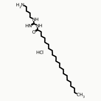 CCCCCCCCCCCCCCCCCCCCCC(=O)NC(=N)NCCCCN.Cl